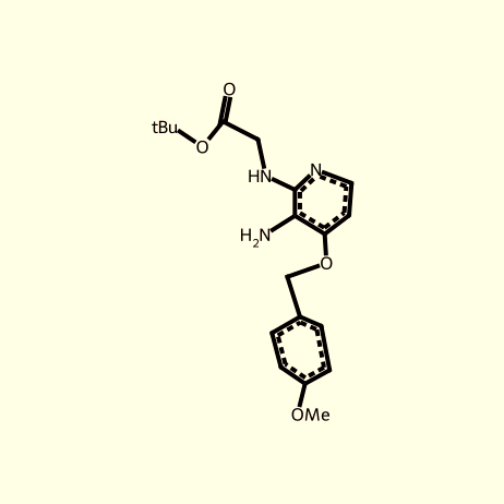 COc1ccc(COc2ccnc(NCC(=O)OC(C)(C)C)c2N)cc1